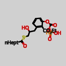 CCCCCCCC(=O)SCC(O)Cc1cccc(OC(=O)O[PH](=O)O)c1C(=O)OCC